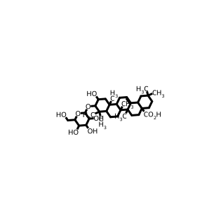 CC1(C)CCC2(C(=O)O)CCC3(C)C(=CCC4C5(C)CC(O)C(OC6OC(CO)C(O)C(O)C6O)C(C)(C)C5CCC43C)C2C1